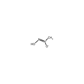 C[N+]([O-])=NO